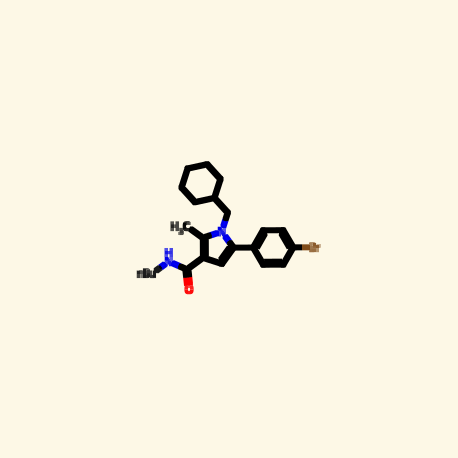 CCCCNC(=O)c1cc(-c2ccc(Br)cc2)n(CC2CCCCC2)c1C